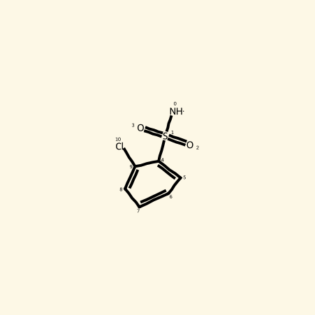 [NH]S(=O)(=O)c1ccccc1Cl